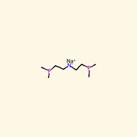 CP(C)CC[N-]CCP(C)C.[Na+]